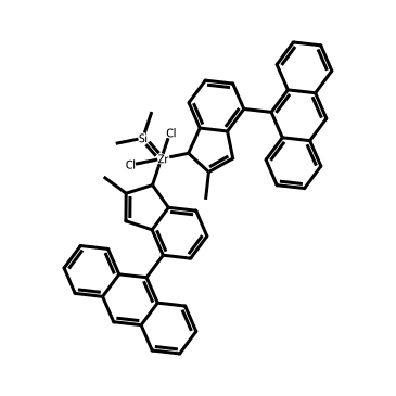 CC1=Cc2c(-c3c4ccccc4cc4ccccc34)cccc2[CH]1[Zr]([Cl])([Cl])([CH]1C(C)=Cc2c(-c3c4ccccc4cc4ccccc34)cccc21)=[Si](C)C